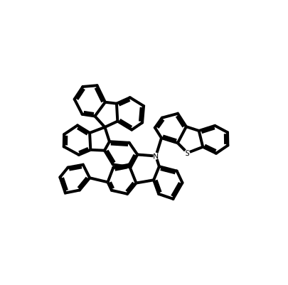 c1ccc(-c2ccc(-c3ccccc3N(c3ccc4c(c3)C3(c5ccccc5-c5ccccc53)c3ccccc3-4)c3cccc4c3sc3ccccc34)cc2)cc1